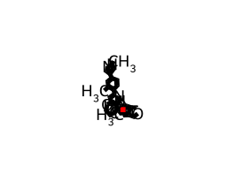 CB(O)N1C2COCC1CC(N1CCCOc3cc(-c4ccc(-c5cnn(C)c5)cc4C)nnc31)C2